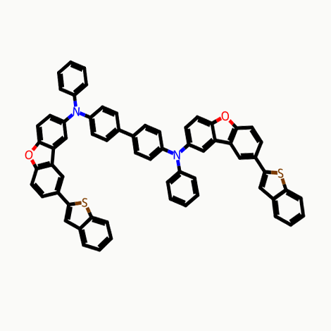 c1ccc(N(c2ccc(-c3ccc(N(c4ccccc4)c4ccc5oc6ccc(-c7cc8ccccc8s7)cc6c5c4)cc3)cc2)c2ccc3oc4ccc(-c5cc6ccccc6s5)cc4c3c2)cc1